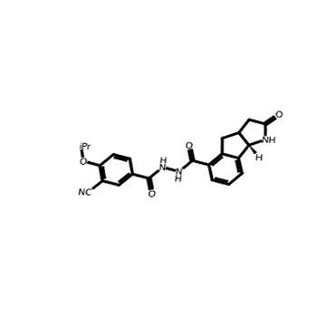 CC(C)Oc1ccc(C(=O)NNC(=O)c2cccc3c2CC2CC(=O)N[C@H]32)cc1C#N